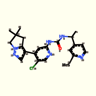 CSc1cc(C(C)NC(=O)Nc2cc(-c3cnn4c3CC(C)(C)C4)c(Cl)cn2)ccn1